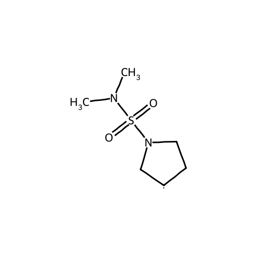 CN(C)S(=O)(=O)N1C[CH]CC1